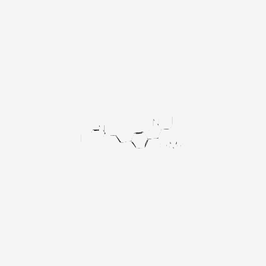 CC/C=N\O/C=C/c1ccc(C(OC)C(N)CF)cc1